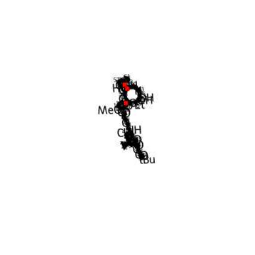 CC[C@H]1OC(=O)[C@H](C)[C@@H](O[C@H]2C[C@@](C)(OC)[C@@H](OC(=O)CCOCCNc3cc4c(=O)c(C(=O)OCOC(=O)C(C)(C)C)cn(C5CC5)c4cc3Cl)[C@H](C)O2)[C@H](C)[C@@H](O[C@@H]2O[C@H](C)C[C@H](N(C)C)[C@H]2O)[C@](C)(O)C[C@@H](C)CN(C)[C@H](C)[C@@H](O)[C@]1(C)O